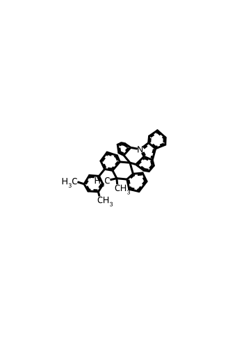 Cc1cc(C)cc(-c2cccc3c2C(C)(C)c2ccccc2C32c3ccccc3-n3c4ccccc4c4cccc2c43)c1